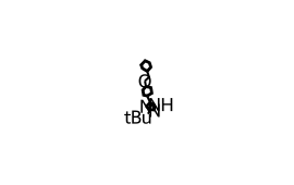 CC(C)(C)c1n[nH]c(-c2ccc(OCc3ccccc3)cc2)n1